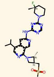 CC(C)c1cnc(N2C[C@H](CS(C)(=O)=O)[C@H]2C)c2cnc(Nc3ncnc(N4CCC[C@@](C)(F)C4)n3)cc12